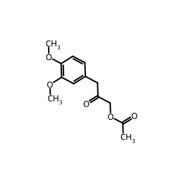 COc1ccc(CC(=O)COC(C)=O)cc1OC